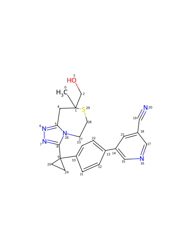 CC1(CO)Cc2nnc(C3(c4ccc(-c5cncc(C#N)c5)cc4)CC3)n2CCS1